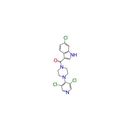 O=C(c1c[nH]c2cc(Cl)ccc12)N1CCN(c2c(Cl)cncc2Cl)CC1